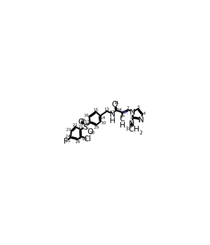 C=Nc1nccn1/C=C(\C)C(=O)NCc1ccc(S(=O)(=O)c2ccc(F)cc2Cl)cc1